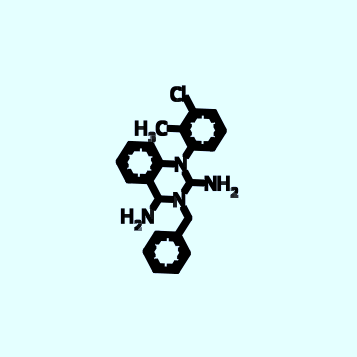 Cc1c(Cl)cccc1N1c2ccccc2C(N)N(Cc2ccccc2)C1N